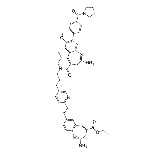 CCCN(CCCc1ccc(COc2ccc3c(c2)C=C(C(=O)OCC)CC(N)=N3)nc1)C(=O)C1=Cc2cc(OC)c(-c3ccc(C(=O)N4CCCC4)cc3)cc2N=C(N)C1